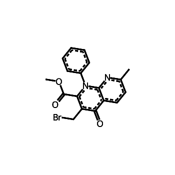 COC(=O)c1c(CBr)c(=O)c2ccc(C)nc2n1-c1ccccc1